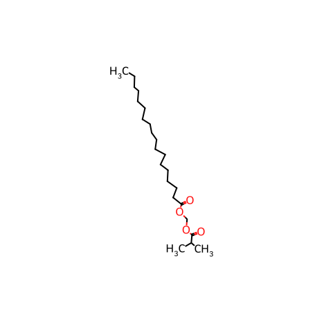 CCCCCCCCCCCCCCCCCC(=O)OCOC(=O)C(C)C